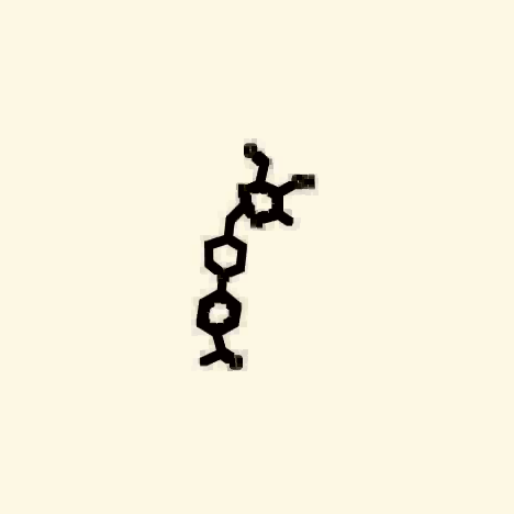 CC(=O)c1ccc(N2CCC(Cc3nc(C)c(O)c([C]=O)n3)CC2)cc1